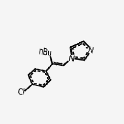 CCCC/C(=C\n1ccnc1)c1ccc(Cl)cc1